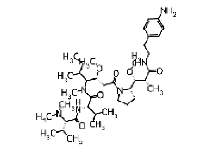 CC[C@H](C)C([C@@H](CC(=O)N1CCC[C@H]1[C@H](OC)[C@@H](C)C(=O)NCCc1ccc(N)cc1)OC)N(C)C(=O)[C@@H](NC(=O)[C@H](C(C)C)N(C)C)C(C)C